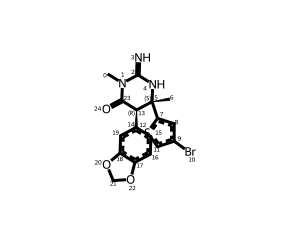 CN1C(=N)N[C@](C)(c2cc(Br)cs2)[C@@H](c2ccc3c(c2)OCO3)C1=O